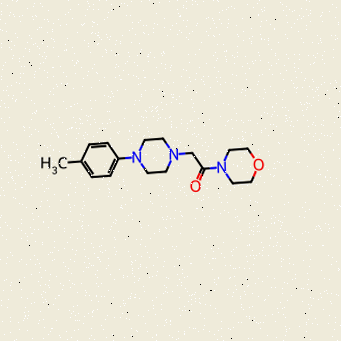 Cc1ccc(N2CCN(CC(=O)N3CCOCC3)CC2)cc1